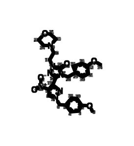 COc1ccc(Cn2cc([N+](=O)[O-])c(-c3nn(CCN4CCOCC4)c(=O)n3Cc3ccc(OC)cc3)n2)cc1